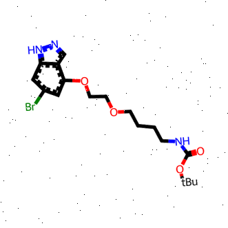 CC(C)(C)OC(=O)NCCCCOCCOc1cc(Br)cc2[nH]ncc12